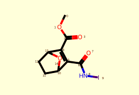 COC(=O)C1=C(C(=O)NI)C2CCC1O2